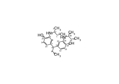 CCC(C)Nc1cc(C(CC)c2ccc(O)c(NC(C)CC)c2)ccc1O